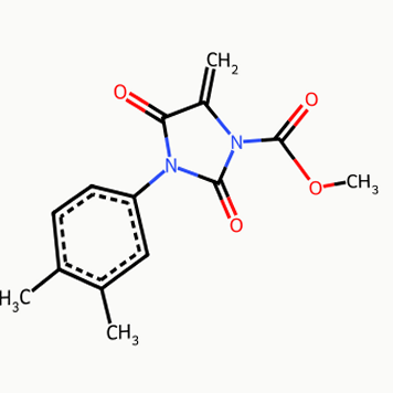 C=C1C(=O)N(c2ccc(C)c(C)c2)C(=O)N1C(=O)OC